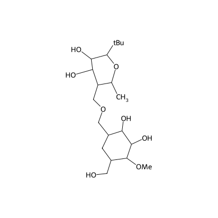 COC1C(CO)CC(COCC2C(C)OC(C(C)(C)C)C(O)C2O)C(O)C1O